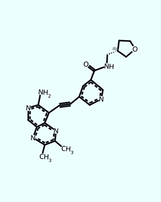 Cc1nc2cnc(N)c(C#Cc3cncc(C(=O)NC[C@@H]4CCOC4)c3)c2nc1C